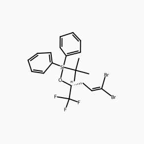 CC(C)(C)[Si](O[C@H](CC=C(Br)Br)C(F)(F)F)(c1ccccc1)c1ccccc1